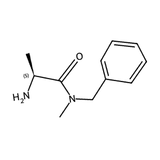 C[C@H](N)C(=O)N(C)Cc1ccccc1